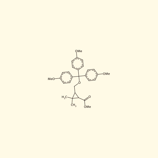 COC(=O)C1C(COC(c2ccc(OC)cc2)(c2ccc(OC)cc2)c2ccc(OC)cc2)C1(C)C